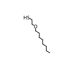 CCCCCCCCOCCS